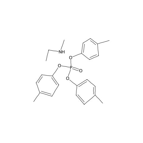 CCNC.Cc1ccc(OP(=O)(Oc2ccc(C)cc2)Oc2ccc(C)cc2)cc1